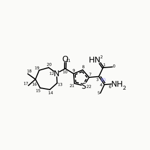 CC(=N)/C(=C(/C)N)c1cc(C(=O)N2CCCC(C)(C)CC2)cs1